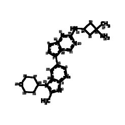 Cc1nc2ncc(-c3ccn4nc(NC5CC(C)(N)C5)ncc34)cc2n1C1CCOCC1